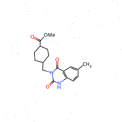 COC(=O)C1CCC(Cn2c(=O)[nH]c3ccc(C)cc3c2=O)CC1